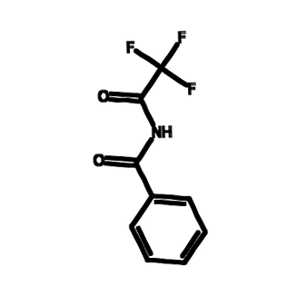 O=C(NC(=O)C(F)(F)F)c1ccccc1